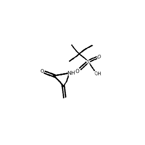 C=C1NC1=O.CC(C)(C)S(=O)(=O)O